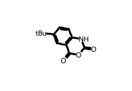 CC(C)(C)c1ccc2[nH]c(=O)oc(=O)c2c1